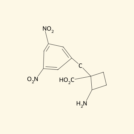 NC1CCC1(Cc1cc([N+](=O)[O-])cc([N+](=O)[O-])c1)C(=O)O